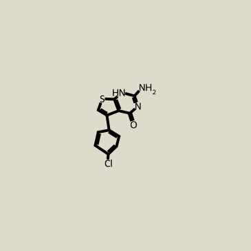 Nc1nc(=O)c2c(-c3ccc(Cl)cc3)csc2[nH]1